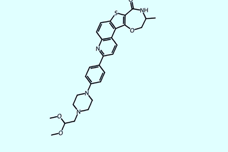 COC(CN1CCN(c2ccc(-c3ccc4c(ccc5sc6c(c54)OCC(C)NC6=O)n3)cc2)CC1)OC